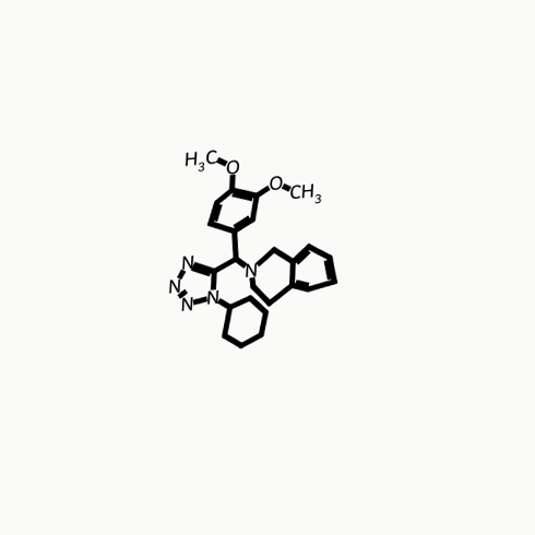 COc1ccc(C(c2nnnn2C2CCCCC2)N2CCc3ccccc3C2)cc1OC